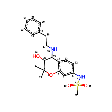 CC1(C)Oc2cc(NS(C)(=O)=O)ccc2C(NCCc2ccccc2)C1O